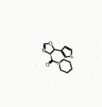 O=C([C@H]1N=COC1c1ccsc1)N1CCCCC1